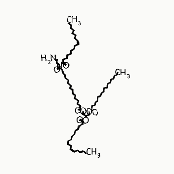 CCCCC/C=C\C/C=C\CCCCCCCC(=O)OC(COC(=O)CCCCCCC/C=C/CCCCCCC(=O)N(CCN)C(=O)CCCCCCC/C=C\CCCCCCCC)COC(=O)CCCCCCCCCCCCCCCCC